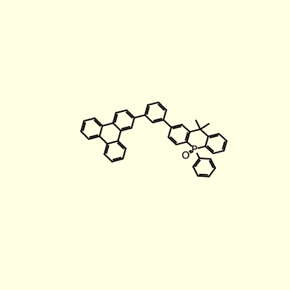 CC1(C)c2ccccc2P(=O)(c2ccccc2)c2ccc(-c3cccc(-c4ccc5c6ccccc6c6ccccc6c5c4)c3)cc21